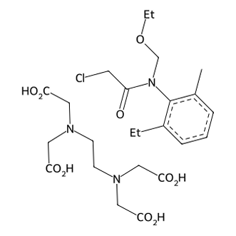 CCOCN(C(=O)CCl)c1c(C)cccc1CC.O=C(O)CN(CCN(CC(=O)O)CC(=O)O)CC(=O)O